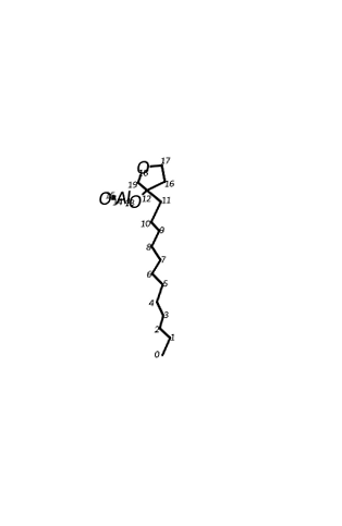 CCCCCCCCCCCCC1([O][Al]=[O])CCOC1